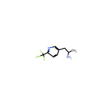 CC(N)Cc1ccc(C(F)(F)F)nc1